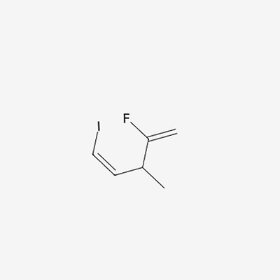 C=C(F)C(C)/C=C\I